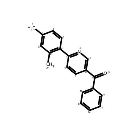 Cc1ccc(-c2ccc(C(=O)c3ccccc3)cn2)c(C)c1